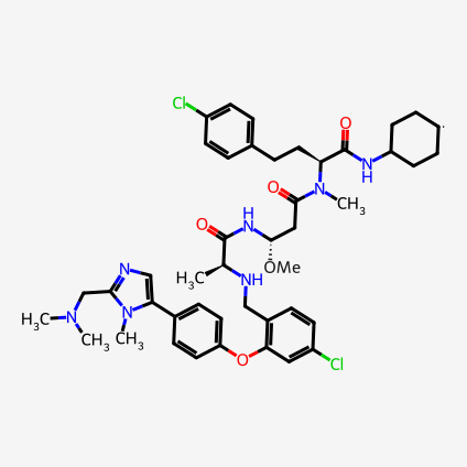 CO[C@@H](CC(=O)N(C)[C@@H](CCc1ccc(Cl)cc1)C(=O)NC1CC[CH]CC1)NC(=O)[C@H](C)NCc1ccc(Cl)cc1Oc1ccc(-c2cnc(CN(C)C)n2C)cc1